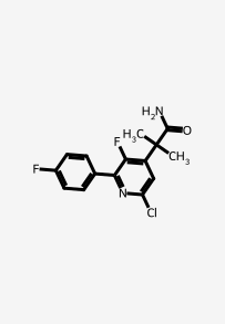 CC(C)(C(N)=O)c1cc(Cl)nc(-c2ccc(F)cc2)c1F